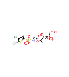 CC(O[C@@H](C)CNS(=O)(=O)c1cc(Cl)c(Cl)s1)C(O)[C@H](O)CO